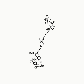 COc1cc(Nc2c(C#N)cnc3cc(OCCCN4CCN(C(=O)CCCCCCCNc5cccc6c5CN(C5CCC(=O)NC5=O)C6=O)CC4)c(OC)cc23)c(Cl)cc1Cl